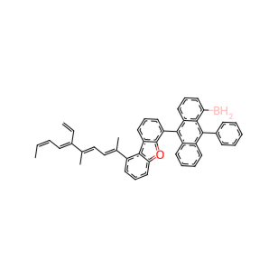 Bc1cccc2c(-c3cccc4c3oc3cccc(/C(C)=C/C=C(C)/C(C=C)=C/C=C\C)c34)c3ccccc3c(-c3ccccc3)c12